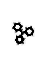 c1cc[c]([Al]([CH]2CCCCC2)[CH]2CCCCC2)cc1